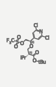 CC(C)[C@H](CO[C@@H](COS(=O)(=O)C(F)(F)F)c1cc(Cl)nc(Cl)c1)C(=O)OC(C)(C)C